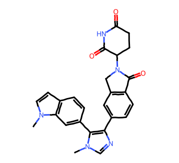 Cn1cnc(-c2ccc3c(c2)CN(C2CCC(=O)NC2=O)C3=O)c1-c1ccc2ccn(C)c2c1